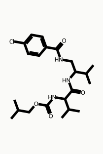 CC(C)COC(=O)NC(C(=O)NC(CNC(=O)c1ccc(Cl)cc1)C(C)C)C(C)C